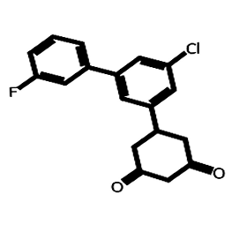 O=C1CC(=O)CC(c2cc(Cl)cc(-c3cccc(F)c3)c2)C1